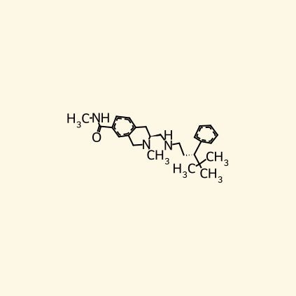 CNC(=O)c1ccc2c(c1)CN(C)[C@H](CNCC[C@H](c1ccccc1)C(C)(C)C)C2